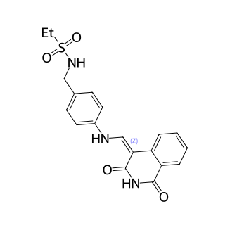 CCS(=O)(=O)NCc1ccc(N/C=C2\C(=O)NC(=O)c3ccccc32)cc1